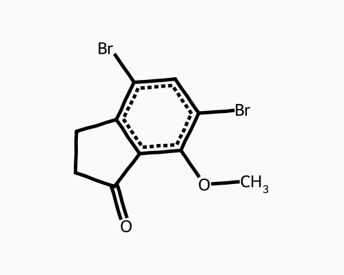 COc1c(Br)cc(Br)c2c1C(=O)CC2